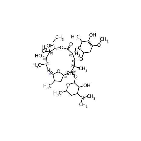 CC[C@@H]1OC(=O)[C@H](C)[C@H](OC2CC(OC)=C(O)C(C)O2)[C@@H](C)[C@@H](OC2OC(C)CC(N(C)C)C2O)[C@]2(C)CC(C)/C(=N/[C@@H](C)[C@H](O)[C@]1(C)O)O2